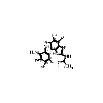 CC(C)Nc1nc2c(F)c(F)c(F)cc2[nH]1.Nc1cc(F)c(F)c(F)c1N